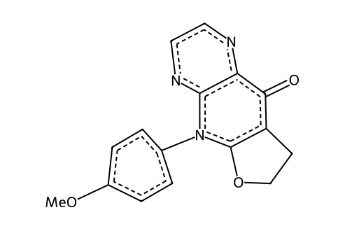 COc1ccc(-n2c3c(c(=O)c4nccnc42)CCO3)cc1